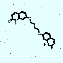 O=c1ccc2ccc(OCCCCOc3ccc4ccc(=O)[nH]c4c3)cc2[nH]1